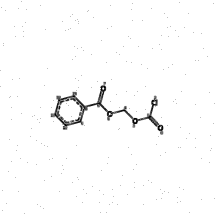 O=C(Cl)OCOC(=O)c1ccccc1